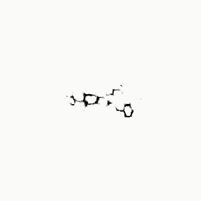 COc1cccc(COC(=O)N(OCCN(C)C)c2ccc(-c3cn[nH]c3)c(F)c2)c1